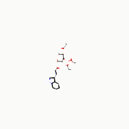 CCC(=O)O[C@@H]1[C@H](OC(=O)/C=C/c2c[nH]c3ccccc23)O[C@@H](C)[C@@H](OC(=O)CC)[C@]1(C)OC(=O)CC